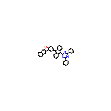 c1ccc(-c2nc(-c3ccccc3)nc(-c3c4ccccc4c(-c4ccc5oc6cc7ccccc7cc6c5c4)c4ccccc34)n2)cc1